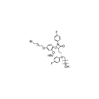 CCCCOc1cc(OC/C=C/CBr)ccc1[C@@H]1C(CC[C@H](CC(C)(C)[Si](C)(C)O)c2ccc(F)cc2)C(=O)N1c1ccc(F)cc1